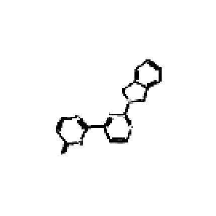 O=c1ccnc(-c2ccnc(N3Cc4ccccc4C3)n2)[nH]1